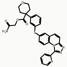 NC(=O)COC(=O)C1(c2cccc(Sc3ccc4c(ccc5nnc(-c6ccccn6)n54)c3)c2)CCOCC1